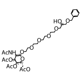 CC(=O)N[C@H]1[C@H](OCCOCCOCCOCCOC[C@H](O)COCc2ccccc2)O[C@H](COC(C)=O)[C@H](OC(C)=O)[C@@H]1OC(C)=O